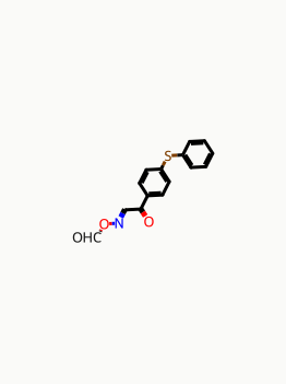 O=CO/N=C/C(=O)c1ccc(Sc2ccccc2)cc1